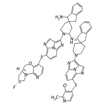 Cc1nccc(Sc2ccc3nc(N4CCC5(CC4)Cc4ccccc4[C@H]5NC4CC5(CCN4c4nc6ccc(Sc7ccnc8c7OC[C@@H]7C[C@@H](F)CN87)c7ncc4n67)Cc4ccccc4C5N)c4cnc2n34)c1Cl